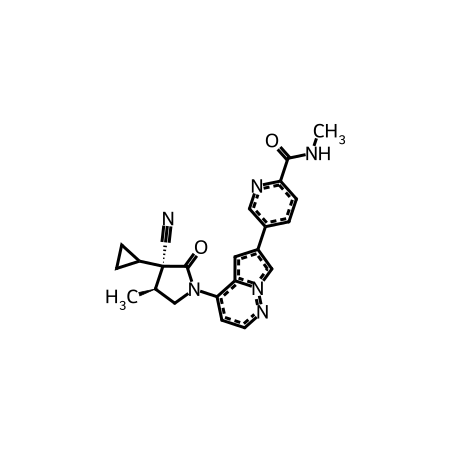 CNC(=O)c1ccc(-c2cc3c(N4C[C@@H](C)[C@@](C#N)(C5CC5)C4=O)ccnn3c2)cn1